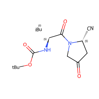 CC[C@H](C)[C@H](NC(=O)OC(C)(C)C)C(=O)N1CC(=O)C[C@H]1C#N